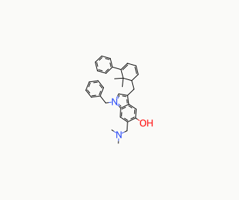 CN(C)Cc1cc2c(cc1O)c(CC1C=CC=C(c3ccccc3)C1(C)C)cn2Cc1ccccc1